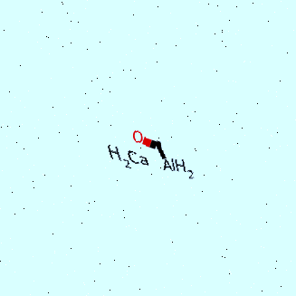 O=[CH][AlH2].[CaH2]